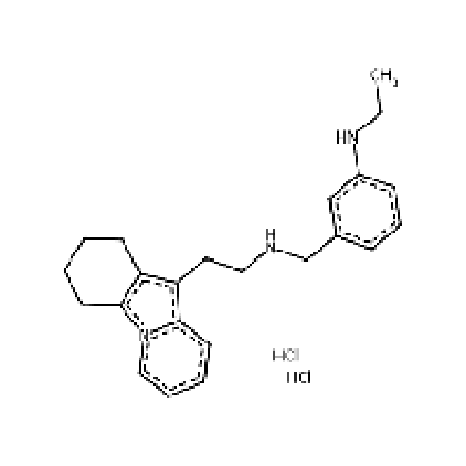 CCNc1cccc(CNCCc2c3c(n4ccccc24)CCCC3)c1.Cl.Cl